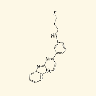 FCCCNc1cccc(-c2ccn3c(n2)nc2ccccc23)c1